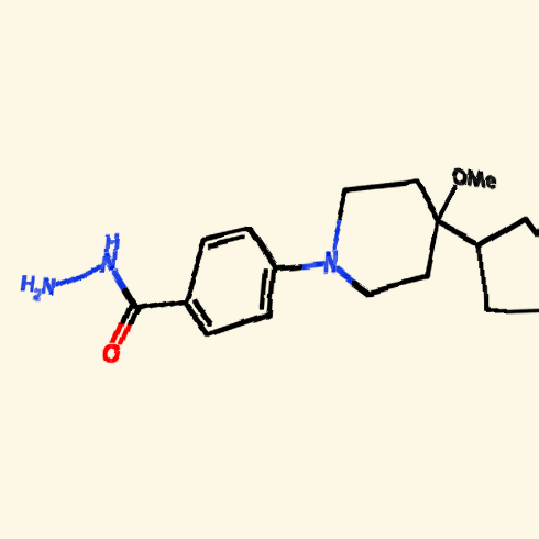 COC1(C2CCCC2)CCN(c2ccc(C(=O)NN)cc2)CC1